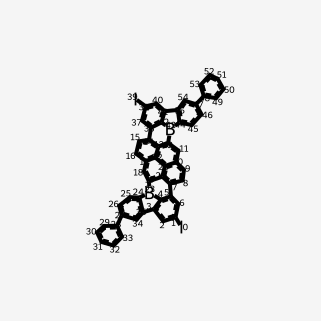 Ic1cc2c3c(c1)-c1ccc4cc5c6c(ccc7cc(c1c4c76)B3c1ccc(-c3ccccc3)cc1-2)-c1cc(I)cc2c1B5c1ccc(-c3ccccc3)cc1-2